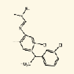 CCN(C)C=Nc1cc(Cl)c(C(C(=O)O)c2cccc(Cl)c2)cc1C